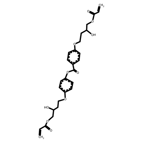 C=CC(=O)OCC(O)CCOc1ccc(OC(=O)c2ccc(OCCC(O)COC(=O)C=C)cc2)cc1